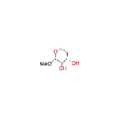 COC1OCC[C@H](O)[C@H]1O